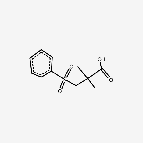 CC(C)(CS(=O)(=O)c1ccccc1)C(=O)O